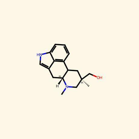 CN1C[C@](C)(CO)CC2c3cccc4[nH]cc(c34)C[C@H]21